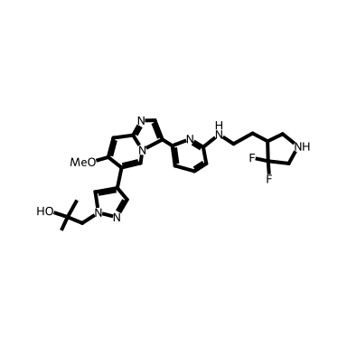 COc1cc2ncc(-c3cccc(NCCC4CNCC4(F)F)n3)n2cc1-c1cnn(CC(C)(C)O)c1